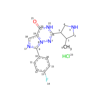 CC1CNCC1c1nn2c(-c3ccc(F)cc3)ncc2c(=O)[nH]1.Cl